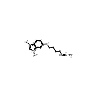 CC(C)n1c[n+](C(C)C)c2cc(OCCCCN=[N+]=[N-])ccc21